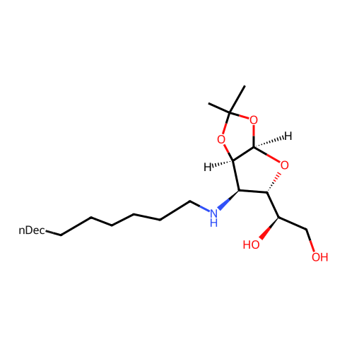 CCCCCCCCCCCCCCCCN[C@H]1[C@H]2OC(C)(C)O[C@H]2O[C@@H]1[C@H](O)CO